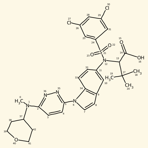 CN(c1ccc(-n2ccc3cc(N(C(C(=O)O)C(C)(C)C)S(=O)(=O)c4cc(Cl)cc(Cl)c4)ccc32)nn1)C1CCOCC1